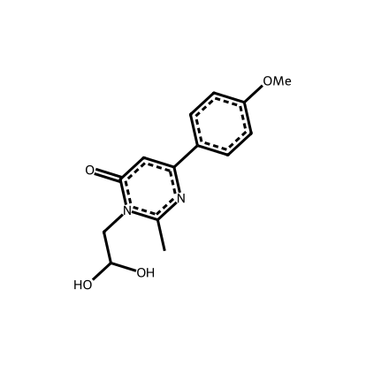 COc1ccc(-c2cc(=O)n(CC(O)O)c(C)n2)cc1